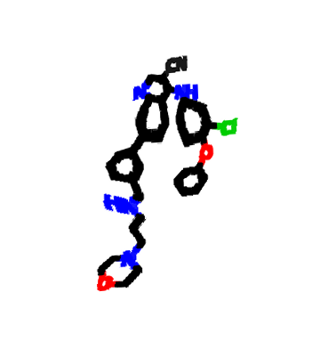 N#Cc1cnc2cc(-c3cccc(CNCCCN4CCOCC4)c3)ccc2c1Nc1ccc(Oc2ccccc2)c(Cl)c1